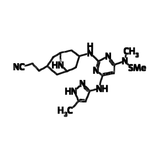 CSN(C)c1cc(Nc2cc(C)[nH]n2)nc(NC2CC3CC(CCC#N)CC(C2)N3)n1